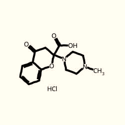 CN1CCN(C2(C(=O)O)CC(=O)c3ccccc3O2)CC1.Cl